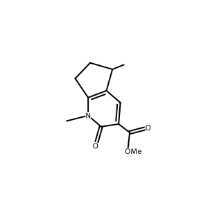 COC(=O)c1cc2c(n(C)c1=O)CCC2C